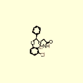 CC(c1ccccc1)N1CC(=O)N[C@H]1c1c(Cl)cccc1Cl